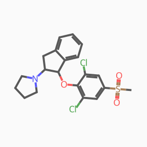 CS(=O)(=O)c1cc(Cl)c(OC2c3ccccc3CC2N2CCCC2)c(Cl)c1